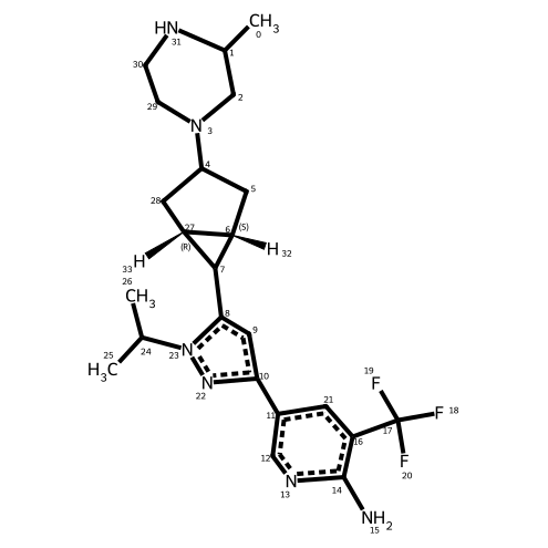 CC1CN(C2C[C@@H]3C(c4cc(-c5cnc(N)c(C(F)(F)F)c5)nn4C(C)C)[C@@H]3C2)CCN1